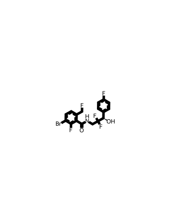 O=C(NCC(F)(F)[C@@H](O)c1ccc(F)cc1)c1c(CF)ccc(Br)c1F